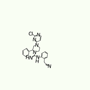 N#CCc1ccccc1NC(=N)N1CCN(c2ccnc(Cl)n2)CC1c1ccccc1